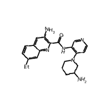 CCc1ccc2cc(N)c(C(=O)Nc3cnccc3N3CCCC(N)C3)nc2c1